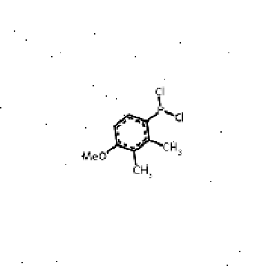 COc1ccc(P(Cl)Cl)c(C)c1C